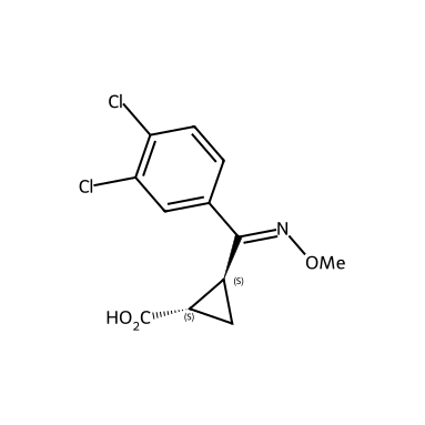 CON=C(c1ccc(Cl)c(Cl)c1)[C@H]1C[C@@H]1C(=O)O